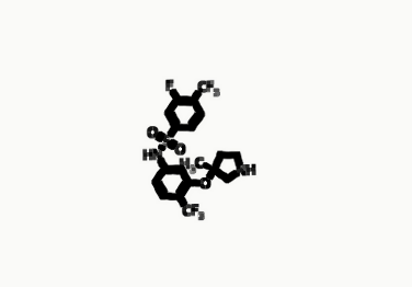 C[C@@]1(Oc2cc(NS(=O)(=O)c3ccc(C(F)(F)F)c(F)c3)ccc2C(F)(F)F)CCNC1